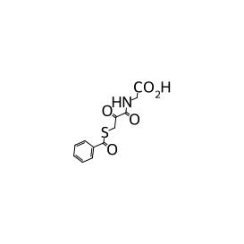 O=C(O)CNC(=O)C(=O)CSC(=O)c1ccccc1